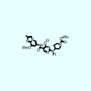 CCOc1nc(N(CC)C2CCN(C(=O)OC(C)(C)C)CC2)ncc1C(=O)Nc1cc(OC)c2nc(C)cn2c1